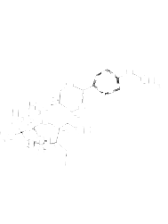 COc1ccc(C2OC[C@H](C)[C@@H](C(C)[C@H](O[Si](C)(C)C(C)(C)C)C(C)CI)O2)cc1